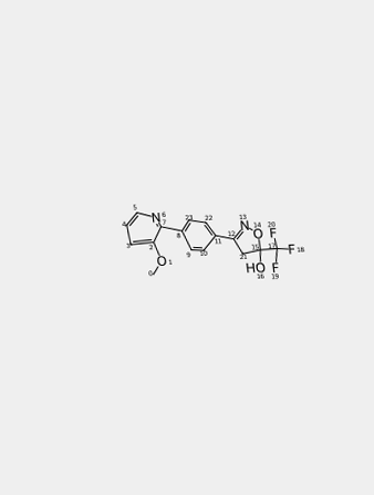 COc1cccnc1-c1ccc(C2=NOC(O)(C(F)(F)F)C2)cc1